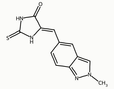 Cn1cc2cc(/C=C3\NC(=S)NC3=O)ccc2n1